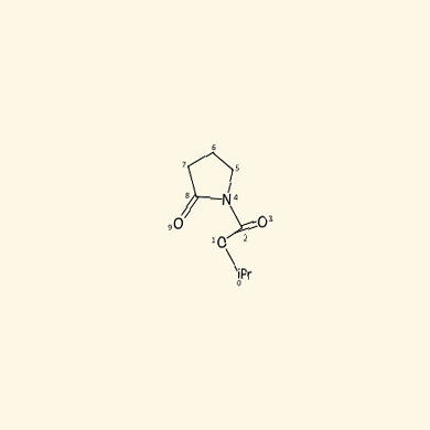 CC(C)OC(=O)N1CCCC1=O